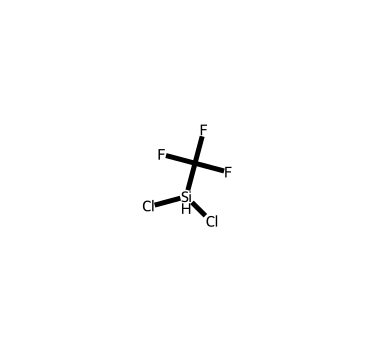 FC(F)(F)[SiH](Cl)Cl